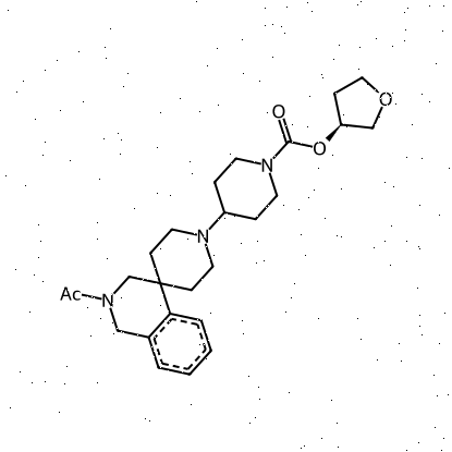 CC(=O)N1Cc2ccccc2C2(CCN(C3CCN(C(=O)O[C@H]4CCOC4)CC3)CC2)C1